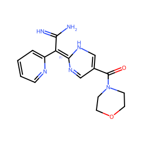 N=C(N)/C(=C1/N=CC(C(=O)N2CCOCC2)=CN1)c1ccccn1